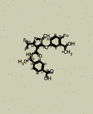 CC(O)c1cc(Oc2c(C(=O)N[C@@H](C)c3ccc(C(=O)O)cc3)c(C(F)F)nn2C)ccc1F